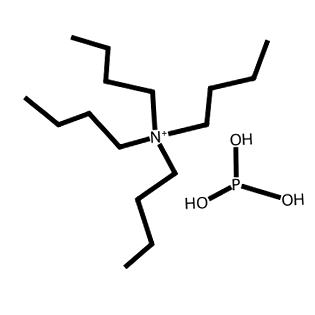 CCCC[N+](CCCC)(CCCC)CCCC.OP(O)O